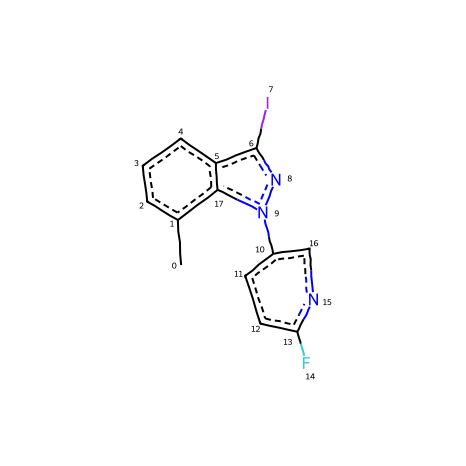 Cc1cccc2c(I)nn(-c3ccc(F)nc3)c12